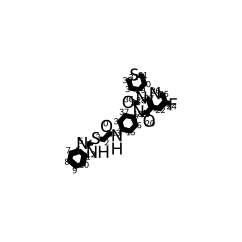 O=C(CSc1nc2ccccc2[nH]1)N[C@H]1CC[C@@H](n2c(=O)c3cc(F)cnc3n(C3CCSCC3)c2=O)CC1